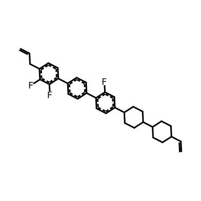 C=CCc1ccc(-c2ccc(-c3ccc(C4CCC(C5CCC(C=C)CC5)CC4)cc3F)cc2)c(F)c1F